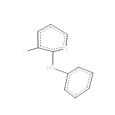 Clc1cccnc1Nc1ccccc1